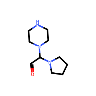 O=CC(N1CCCC1)N1CCNCC1